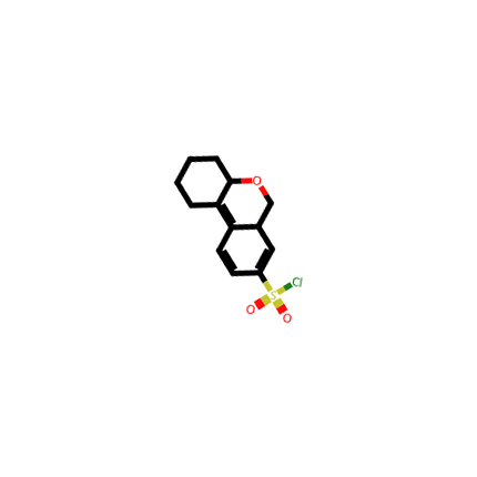 O=S(=O)(Cl)C1=CC2COC3CCCCC3=C2C=C1